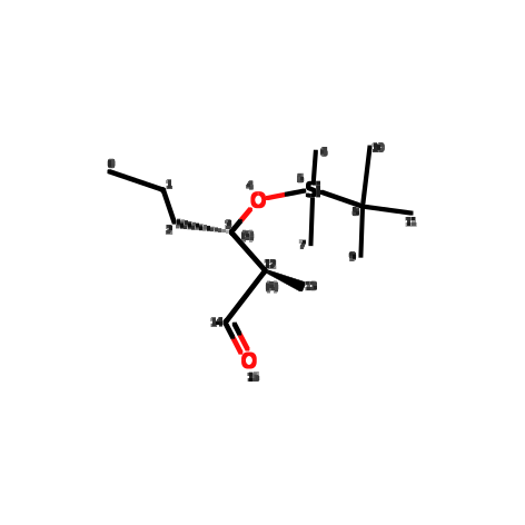 CCC[C@H](O[Si](C)(C)C(C)(C)C)[C@@H](C)C=O